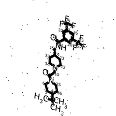 CC(C)(C)C1CCN(C(=O)CN2CCC(CNC(=O)c3cc(C(F)(F)F)cc(C(F)(F)F)c3)CC2)CC1